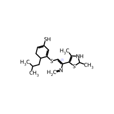 C=N/C(=C\SC1=CC(S)=CCC1CC(C)C)C1=C(C)NC(C)S1